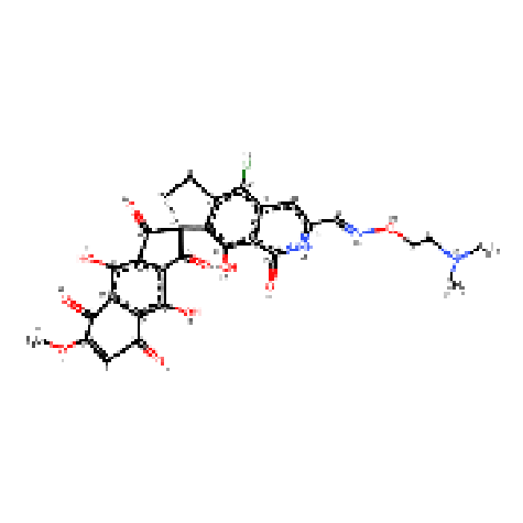 COC1=CC(=O)c2c(O)c3c(c(O)c2C1=O)C(=O)[C@]1(CCc2c1c(O)c1c(=O)[nH]c(/C=N/OCCN(C)C)cc1c2Cl)C3=O